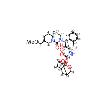 COCC1CCCN(C(=O)N(CC(C)C)C[C@@H](O)[C@H](Cc2ccccc2)NC(=O)OC2C3COC4OC2CC4C3)C1